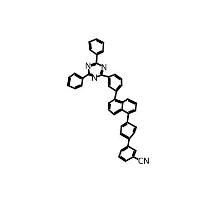 N#Cc1cccc(-c2ccc(-c3cccc4c(-c5cccc(-c6nc(-c7ccccc7)nc(-c7ccccc7)n6)c5)cccc34)cc2)c1